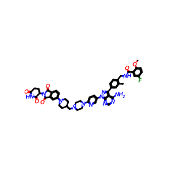 COc1ccc(F)cc1C(=O)NCc1ccc(-c2nn(-c3ccc(N4CCN(CC5CCN(c6ccc7c(c6)C(=O)N(C6CCC(=O)NC6=O)C7=O)CC5)CC4)nc3)c3ncnc(N)c23)cc1C